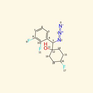 [N-]=[N+]=NC(c1cccc(F)c1F)C1(O)CCC(F)CC1